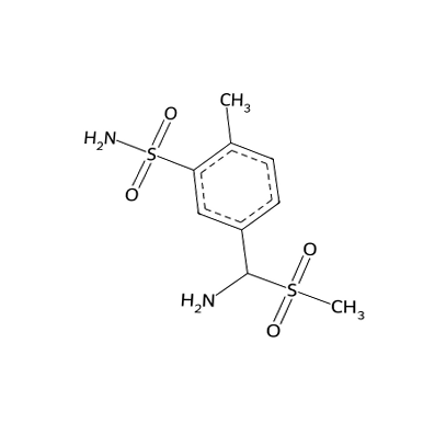 Cc1ccc(C(N)S(C)(=O)=O)cc1S(N)(=O)=O